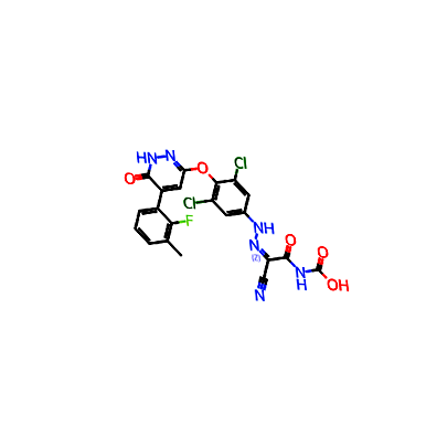 Cc1cccc(-c2cc(Oc3c(Cl)cc(N/N=C(/C#N)C(=O)NC(=O)O)cc3Cl)n[nH]c2=O)c1F